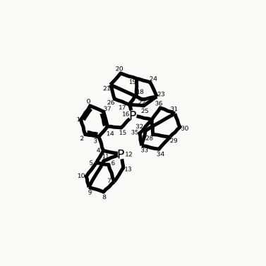 c1ccc(C2C3CC4CC(C3)CP2C4)c(CP(C23CC4CC(CC(C4)C2)C3)C23CC4CC(CC(C4)C2)C3)c1